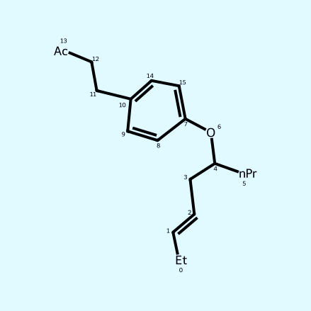 CCC=CCC(CCC)Oc1ccc(CCC(C)=O)cc1